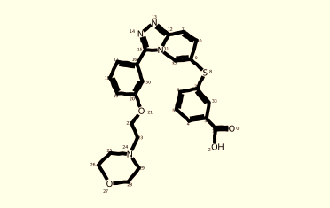 O=C(O)c1cccc(Sc2ccc3nnc(-c4cccc(OCCN5CCOCC5)c4)n3c2)c1